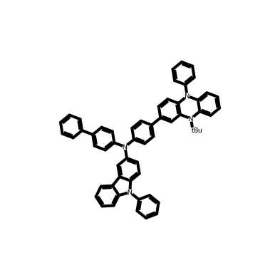 CC(C)(C)N1c2ccccc2N(c2ccccc2)c2ccc(-c3ccc(N(c4ccc(-c5ccccc5)cc4)c4ccc5c(c4)c4ccccc4n5-c4ccccc4)cc3)cc21